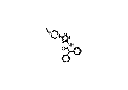 CCN1CCN(c2nnc(NC(=O)C(c3ccccc3)c3ccccc3)s2)CC1